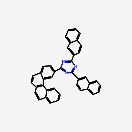 c1ccc2cc(-c3nc(-c4ccc5ccccc5c4)nc(-c4ccc5ccc6ccc7ccccc7c6c5c4)n3)ccc2c1